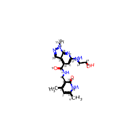 Cc1cc(C)c(CNC(=O)c2cc(NCCO)nc3c2cnn3C(C)C)c(=O)[nH]1